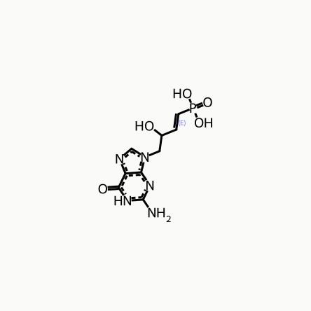 Nc1nc2c(ncn2CC(O)/C=C/P(=O)(O)O)c(=O)[nH]1